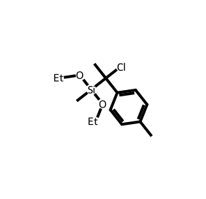 CCO[Si](C)(OCC)C(C)(Cl)c1ccc(C)cc1